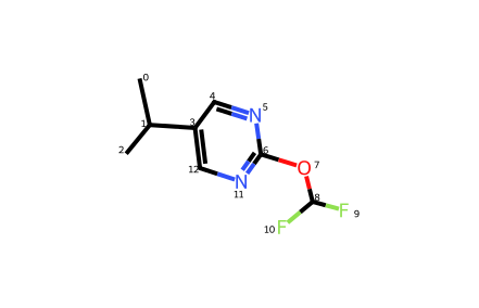 CC(C)c1cnc(OC(F)F)nc1